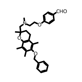 Cc1c(C)c2c(c(C)c1OCc1ccccc1)CCC(C)(CN(C)CCOc1ccc(C=O)cc1)O2